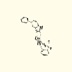 O=C(Cc1nc2ccc(-c3ccccc3)cc2s1)NCc1ccccc1C(F)(F)F